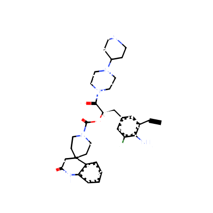 C#Cc1cc(C[C@@H](OC(=O)N2CCC3(CC2)CC(=O)Nc2ccccc23)C(=O)N2CCN(C3CCNCC3)CC2)cc(Cl)c1N